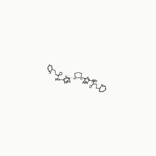 O=C(CCc1ccccn1)Nc1nnc([C@@H]2CCC[C@@H](c3nnc(NC(=O)CCc4ccccn4)s3)C2)s1